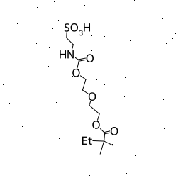 CCC(C)(C)C(=O)OCCOCCOC(=O)NCCS(=O)(=O)O